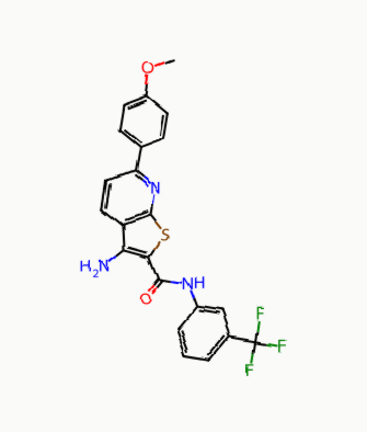 COc1ccc(-c2ccc3c(N)c(C(=O)Nc4cccc(C(F)(F)F)c4)sc3n2)cc1